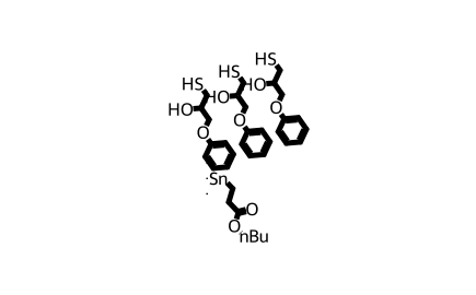 CCCCOC(=O)C[CH2][Sn].OC(CS)COc1ccccc1.OC(CS)COc1ccccc1.OC(CS)COc1ccccc1